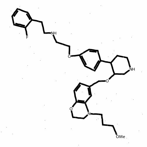 COCCCN1CCOc2ccc(COC3CNCCC3c3ccc(OCCNCCc4ccccc4F)cc3)cc21